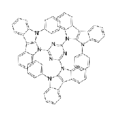 c1ccc(-n2c3ccccc3c3c4ccccc4n(-c4nc(-n5c6ccccc6c6c7ccccc7n(-c7ccccc7)c65)nc(-n5c6ccccc6c6c7ccccc7n(-c7ccccc7)c65)n4)c32)cc1